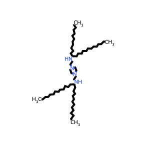 CCCCCCCCCCCCCC(CCCCCCCCCCCC)NCCN1CCN(CCNC(CCCCCCCCCCCCC)CCCCCCCCCCCCC)CC1